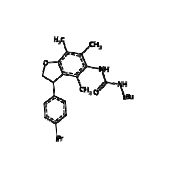 Cc1c(C)c2c(c(C)c1NC(=O)NC(C)(C)C)C(c1ccc(C(C)C)cc1)CO2